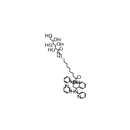 O=C(CCCCCCCCCCNC(=O)[C@H](O)[C@@H](O)[C@H](O)[C@H](O)CO)Nc1ccccc1[C@@H](Nc1ccccn1)[C@H](c1ccccn1)[C@H](O)c1ccccc1